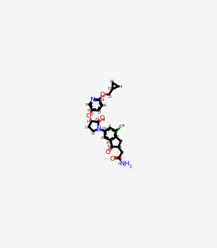 NC(=O)CC1Cc2c(F)cc(N3CC[C@@H](Oc4ccc(OCC5CC5)nc4)C3=O)cc2C1=O